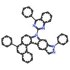 c1ccc(-c2nc(-n3c4cc5c(cnn5-c5ccccc5)cc4c4c5c(ccc43)c(-c3ccccc3)cc3ccccc35)nc3ccccc23)cc1